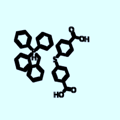 O=C(O)c1ccc(Sc2ccc(C(=O)O)cc2)cc1.c1ccc(C[PH](c2ccccc2)(c2ccccc2)c2ccccc2)cc1